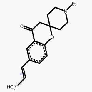 CCN1CCC2(CC1)CC(=O)c1cc(/C=C/C(=O)O)ccc1O2